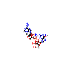 Nc1nc2c(ncn2[C@@H]2O[C@H](CO)[C@@H](O)[C@H]2OP(=O)(O)OC[C@@]23CO[C@@H]([C@H](n4cnc5c(N)ncnc54)O2)[C@@H]3O)c(=O)[nH]1